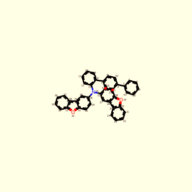 c1ccc(-c2ccc(-c3ccccc3N(c3ccc4oc5ccccc5c4c3)c3ccc4oc5ccccc5c4c3)cc2)cc1